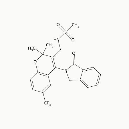 CC1(C)Oc2ccc(C(F)(F)F)cc2C(N2Cc3ccccc3C2=O)=C1CNS(C)(=O)=O